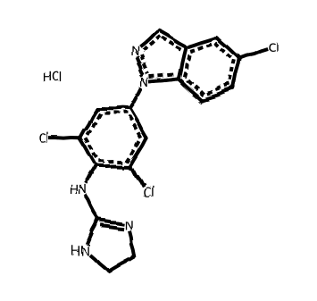 Cl.Clc1ccc2c(cnn2-c2cc(Cl)c(NC3=NCCN3)c(Cl)c2)c1